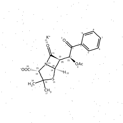 CC(=O)O[C@H](C(=O)c1ccccc1)[C@@H]1C(=O)N2[C@@H]1SC(C)(C)[C@@H]2C(=O)[O-].[K+]